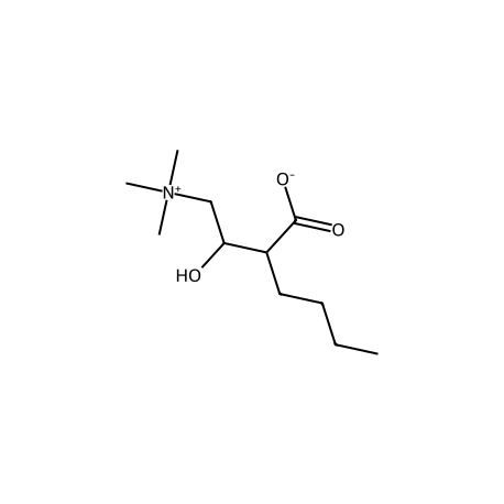 CCCCC(C(=O)[O-])C(O)C[N+](C)(C)C